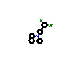 Brc1cc(Br)cc(-c2ccc(N(c3ccccc3)c3cccc4ccccc34)cc2)c1